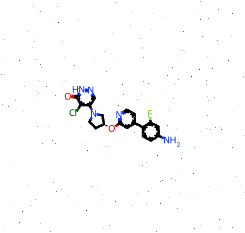 Nc1ccc(-c2ccnc(O[C@@H]3CCN(c4cn[nH]c(=O)c4Cl)C3)c2)c(F)c1